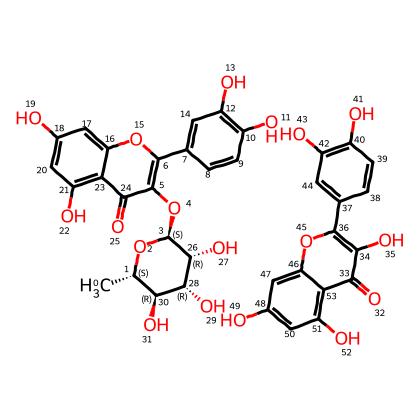 C[C@@H]1O[C@@H](Oc2c(-c3ccc(O)c(O)c3)oc3cc(O)cc(O)c3c2=O)[C@H](O)[C@H](O)[C@H]1O.O=c1c(O)c(-c2ccc(O)c(O)c2)oc2cc(O)cc(O)c12